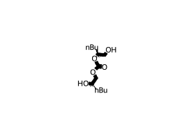 CCCC[C@H](O)COC(=O)O[C@H](CO)CCCC